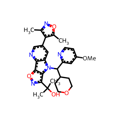 COc1ccnc(C(C2CCOCC2)n2c3cc(-c4c(C)noc4C)cnc3c3onc(C(C)(C)O)c32)c1